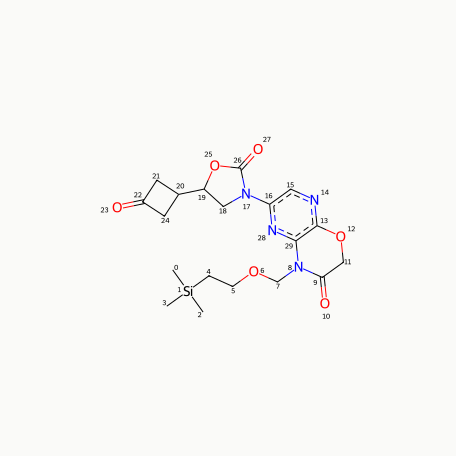 C[Si](C)(C)CCOCN1C(=O)COc2ncc(N3CC(C4CC(=O)C4)OC3=O)nc21